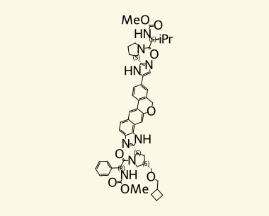 COC(=O)N[C@H](C(=O)N1CCC[C@H]1c1ncc(-c2ccc3c(c2)COc2cc4c(ccc5nc([C@@H]6C[C@H](COCC7CCC7)CN6C(=O)[C@H](NC(=O)OC)c6ccccc6)[nH]c54)cc2-3)[nH]1)C(C)C